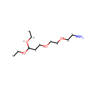 CCOC(CCOCCOCCN)OCC